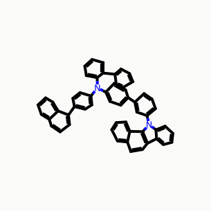 c1ccc(-c2ccccc2N(c2ccc(-c3cccc(-n4c5ccccc5c5ccc6ccccc6c54)c3)cc2)c2ccc(-c3cccc4ccccc34)cc2)cc1